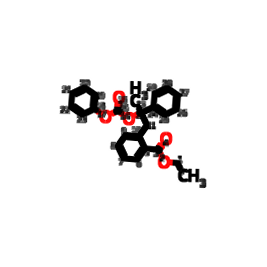 CCOC(=O)c1ccccc1CC(C)(OC(=O)Oc1ccccc1)c1ccccc1